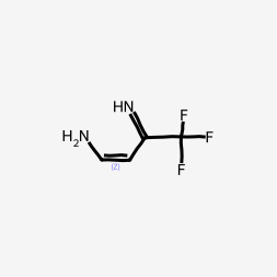 N=C(/C=C\N)C(F)(F)F